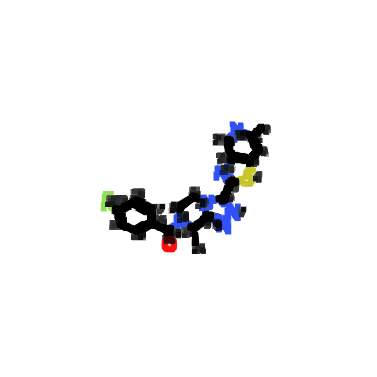 Cc1cc2sc(-c3nnc4n3CCN(C(=O)c3ccc(F)cc3)[C@@H]4C)nc2cn1